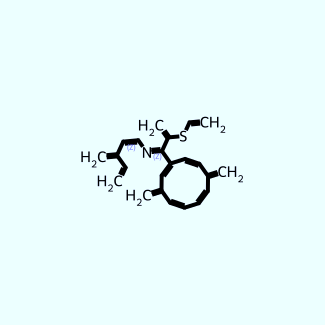 C=CSC(=C)/C(=N\C=C/C(=C)C=C)c1ccc(=C)ccccc(=C)c1